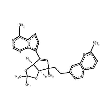 CC1(C)O[C@H]2C(c3ccc4c(N)ncnn34)=C[C@](C)(CCc3ccc4ccc(N)nc4c3)[C@H]2O1